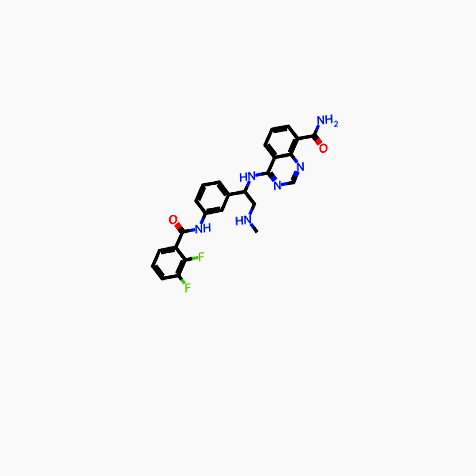 CNCC(Nc1ncnc2c(C(N)=O)cccc12)c1cccc(NC(=O)c2cccc(F)c2F)c1